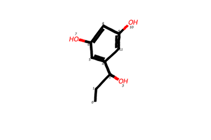 CCC(O)c1cc(O)cc(O)c1